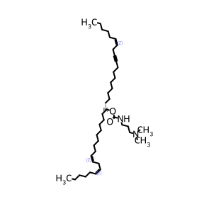 CCCCC/C=C\CC#CCCCCCCCC[C@@H](CCCCCCCC/C=C\C/C=C\CCCCC)OC(=O)NCCCN(C)C